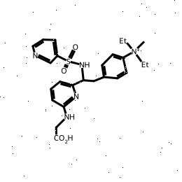 CC[N+](C)(CC)c1ccc(CC(NS(=O)(=O)c2cccnc2)c2cccc(NCC(=O)O)n2)cc1